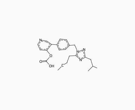 CCCCc1nc(CC(C)C)nn1Cc1ccc(-c2cnccc2OC(=O)O)cc1